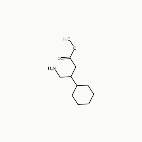 COC(=O)CC(CN)C1CCCCC1